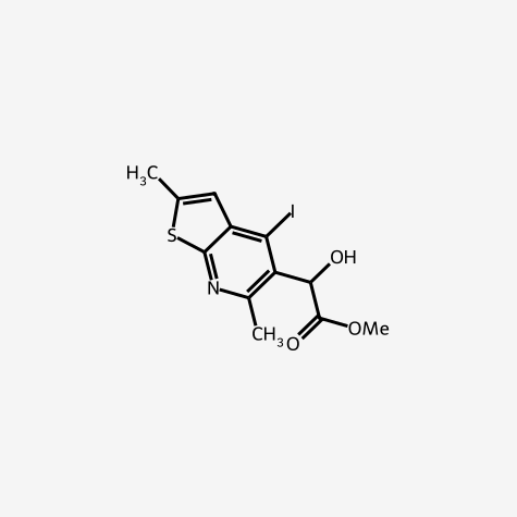 COC(=O)C(O)c1c(C)nc2sc(C)cc2c1I